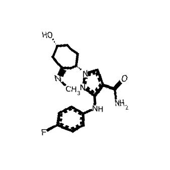 C/N=C1/C[C@H](O)CC[C@@H]1n1cc(C(N)=O)c(Nc2ccc(F)cc2)n1